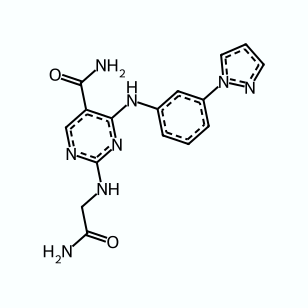 NC(=O)CNc1ncc(C(N)=O)c(Nc2cccc(-n3cccn3)c2)n1